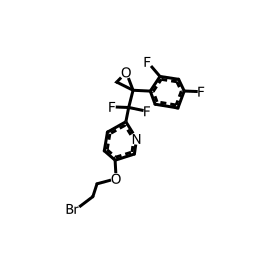 Fc1ccc(C2(C(F)(F)c3ccc(OCCBr)cn3)CO2)c(F)c1